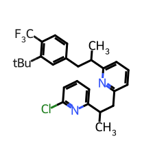 CC(Cc1cccc(C(C)Cc2ccc(C(F)(F)F)c(C(C)(C)C)c2)n1)c1cccc(Cl)n1